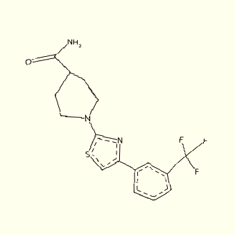 NC(=O)C1CCN(c2nc(-c3cccc(C(F)(F)F)c3)cs2)CC1